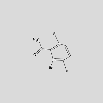 CC(=O)c1c(F)ccc(F)c1Br